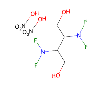 O=[N+]([O-])O.O=[N+]([O-])O.OCC(C(CO)N(F)F)N(F)F